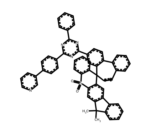 CC1(C)c2ccccc2-c2cc3c(cc21)S(=O)(=O)c1ccccc1C31c2ccccc2-c2ccccc2-c2ccc(-c3nc(-c4ccccc4)nc(-c4ccc(-c5cccnc5)cc4)n3)cc21